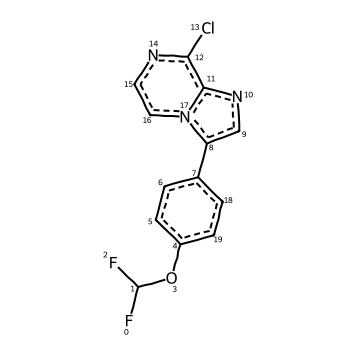 FC(F)Oc1ccc(-c2cnc3c(Cl)nccn23)cc1